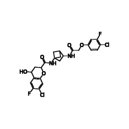 O=C(COc1ccc(Cl)c(F)c1)NC1CC2(NC(=O)C3CC(O)c4cc(F)c(Cl)cc4O3)CC1C2